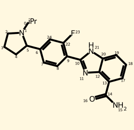 CC(C)N1CCCC1c1ccc(-c2nc3c(C(N)=O)cccc3[nH]2)c(F)c1